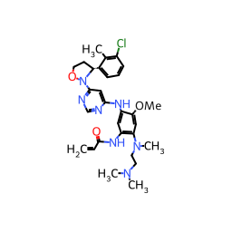 C=CC(=O)Nc1cc(Nc2cc(N3OCC[C@@H]3c3cccc(Cl)c3C)ncn2)c(OC)cc1N(C)CCN(C)C